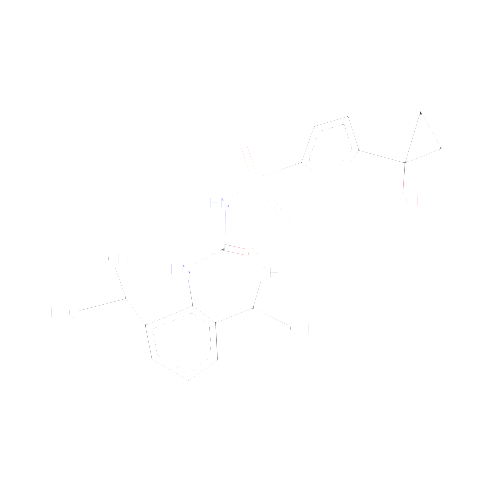 CC(C)c1cccc(C(C)C)c1NC(=O)NS(=O)(=O)c1ccc(C2(O)CC2)s1